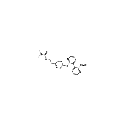 COc1ncccc1-c1cccnc1Oc1ccc(CCOC(=O)N(C)C)cc1